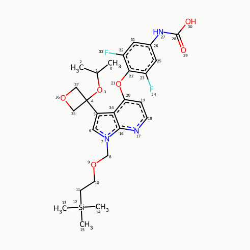 CC(C)OC1(c2cn(COCC[Si](C)(C)C)c3nccc(Oc4c(F)cc(NC(=O)O)cc4F)c23)COC1